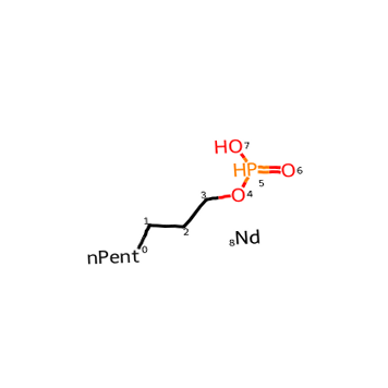 CCCCCCCCO[PH](=O)O.[Nd]